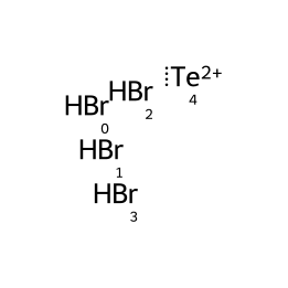 Br.Br.Br.Br.[Te+2]